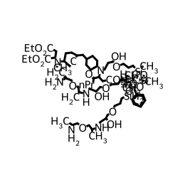 C=C(N)COCC(=C)NCC(O)COCCC[Si](C)(C)O[Si](O[SiH2]CCCOCC(O)CNC(C)COCC(C)N)(O[Si](C)(C)O[Si](C)(C)CCCOC(O)CCN(C1CCC(CC2CCC(N(C)C(CC(=O)OCC)C(=O)OCC)CC2)CC1)C(CC(=O)OCC)C(=O)CCC)c1ccccc1